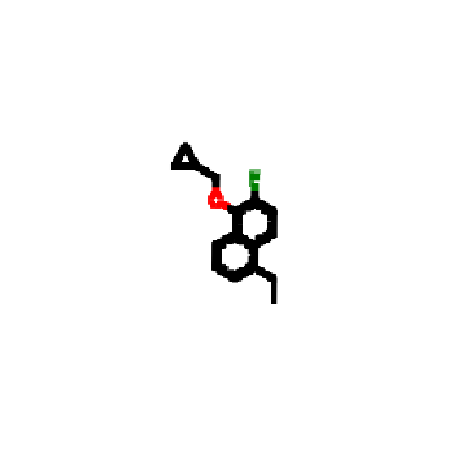 CCc1cccc2c(OCC3CC3)c(F)ccc12